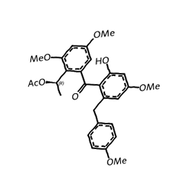 COc1ccc(Cc2cc(OC)cc(O)c2C(=O)c2cc(OC)cc(OC)c2[C@@H](C)OC(C)=O)cc1